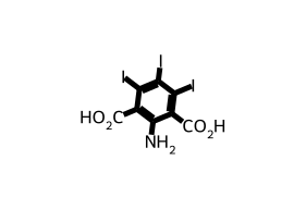 Nc1c(C(=O)O)c(I)c(I)c(I)c1C(=O)O